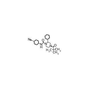 CC(C)(C)C(=O)N1CCN(C(=O)Nc2ccc(C#N)cc2)C(c2ccccc2)C1